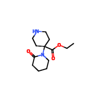 CCOC(=O)C1(N2CCCCC2=O)CCNCC1